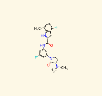 Cc1ccc(F)c2cc(C(=O)Nc3cc(F)cc(N4CC[C@@H](N(C)C)C4=O)c3)[nH]c12